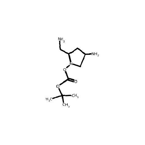 CC(C)(C)OC(=O)ON1CC(N)CC1CN